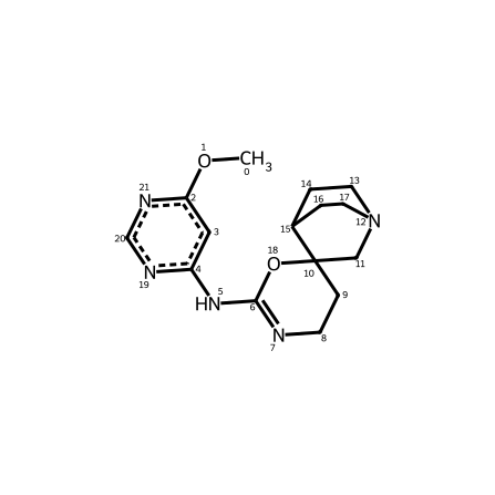 COc1cc(NC2=NCCC3(CN4CCC3CC4)O2)ncn1